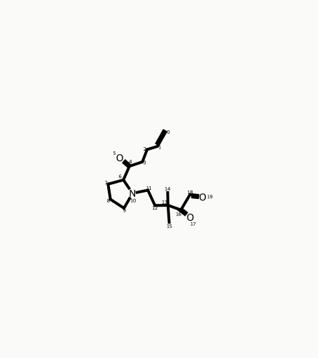 C=CCCC(=O)C1CCCN1CCC(C)(C)C(=O)C=O